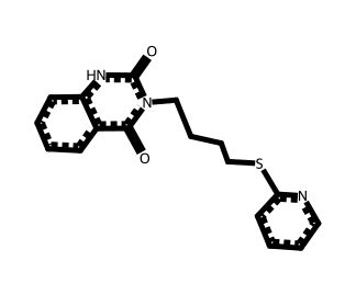 O=c1[nH]c2ccccc2c(=O)n1CCCCSc1ccccn1